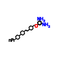 CCCC1CCC(C2CCC(/C=C/C3CCC(COc4cc(N)cc(N)c4)CC3)CC2)CC1